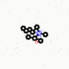 C1=C(c2nc(-c3ccccc3)nc(-c3ccccc3-c3cccc4c3ccc3c5ccccc5ccc43)n2)c2c(oc3ccccc23)CC1c1ccccc1